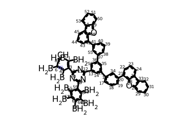 BC(B)=C(/C(B)=C(/B)C#C)c1nc(-c2cc(-c3cccc(-c4cccc5c4oc4ccccc45)c3)cc(-c3cccc(-c4cccc5c4oc4ccccc45)c3)c2)nc(-c2c(B)c(B)c(B)c(B)c2B)n1